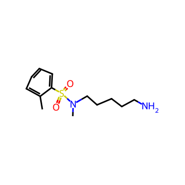 Cc1ccccc1S(=O)(=O)N(C)CCCCCN